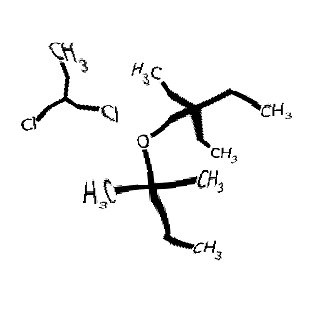 CC(Cl)Cl.CCC(C)(C)OC(C)(C)CC